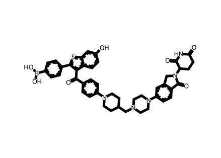 O=C1CCC(N2Cc3cc(N4CCN(CC5CCN(c6ccc(C(=O)c7c(-c8ccc(B(O)O)cc8)sc8cc(O)ccc78)cc6)CC5)CC4)ccc3C2=O)C(=O)N1